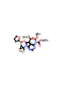 COC(=O)c1c(OC[C@H]2CCCO2)n(C2(C)CC2)c2ncnc(N(C(=O)OC(C)(C)C)C(=O)OC(C)(C)C)c12